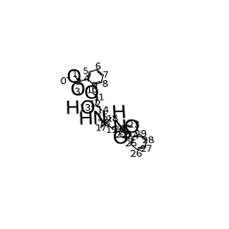 COC(=O)c1ccccc1OCC(O)CNC(C)(C)CNS(=O)(=O)c1ccccc1